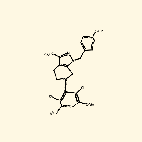 CCOC(=O)c1nn(Cc2ccc(OC)cc2)c2c1CCC(c1c(Cl)c(OC)cc(OC)c1Cl)C2